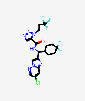 O=C(N[C@H](c1cn2ncc(Cl)cc2n1)C1CCC(F)(F)CC1)c1cnnn1CCC(F)(F)F